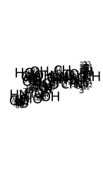 Cc1c(-c2ccc(N3CCc4cccc(C(=O)Nc5nc6ccccc6s5)c4C3)nc2C(=O)O)cnn1CC12CC3(C)CC(C)(C1)CC(OCCN(CCC(O)[C@H](O)CO)C(=O)OCc1ccc(CCCCNC(=O)CN4C(=O)C=CC4=O)cc1OC1O[C@H](C(=O)O)[C@@H](O)[C@H](O)[C@H]1O)(C3)C2